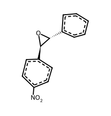 O=[N+]([O-])c1ccc([C@H]2O[C@@H]2c2ccccc2)cc1